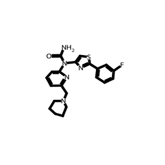 NC(=O)N(c1cccc(CN2CCCCC2)n1)c1csc(-c2cccc(F)c2)n1